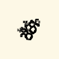 CC(C)(C)[SH](C)(c1ccccc1)(c1cccc(S(=O)(=O)C(F)(F)F)c1S(=O)(=O)C(F)(F)F)S(=O)(=O)C(F)(F)F